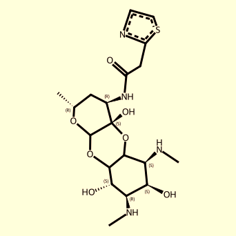 CN[C@@H]1[C@H](O)[C@H](NC)C2O[C@]3(O)C(OC2[C@H]1O)O[C@H](C)C[C@H]3NC(=O)Cc1nccs1